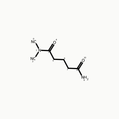 N#CN(C#N)C(=O)CCCC(N)=O